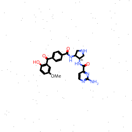 COc1ccc(O)c(C(=O)c2ccc(C(=O)NC3CNC[C@H]3NC(=O)c3ccnc(N)n3)cc2)c1